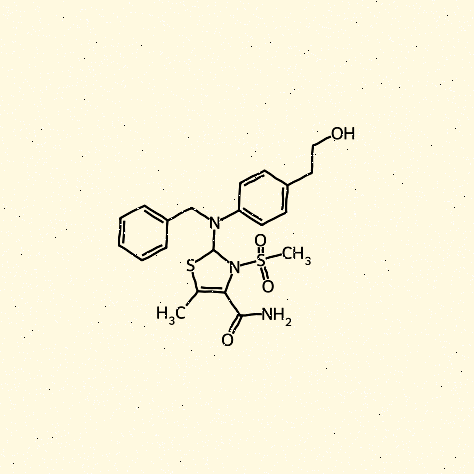 CC1=C(C(N)=O)N(S(C)(=O)=O)C(N(Cc2ccccc2)c2ccc(CCO)cc2)S1